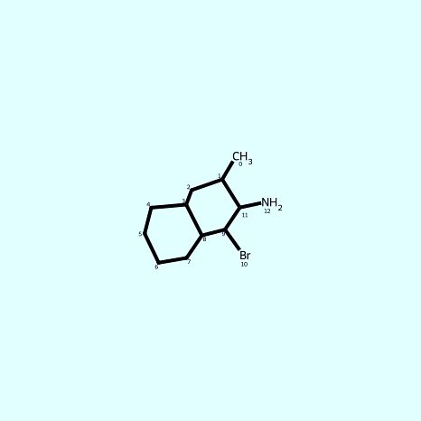 CC1CC2CCCCC2C(Br)C1N